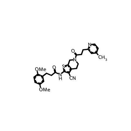 COc1ccc(OC)c(CCC(=O)Nc2sc3c(c2C#N)CCN(C(=O)CCc2cc(C)ccn2)C3)c1